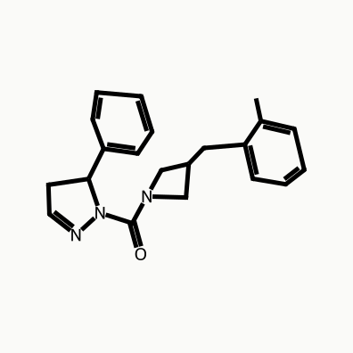 Cc1ccccc1CC1CN(C(=O)N2N=CCC2c2ccccc2)C1